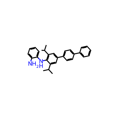 CC(C)c1cc(-c2ccc(-c3ccccc3)cc2)cc(C(C)C)c1Nc1ccccc1N